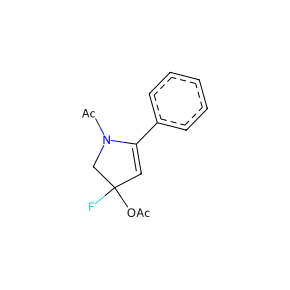 CC(=O)OC1(F)C=C(c2ccccc2)N(C(C)=O)C1